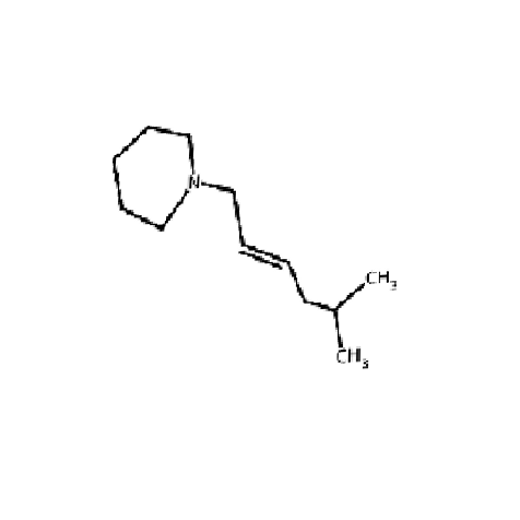 CC(C)C/C=C/CN1CCCCC1